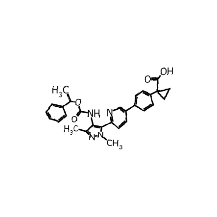 Cc1nn(C)c(-c2ccc(-c3ccc(C4(C(=O)O)CC4)cc3)cn2)c1NC(=O)OC(C)c1ccccc1